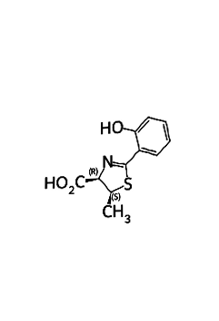 C[C@@H]1SC(c2ccccc2O)=N[C@@H]1C(=O)O